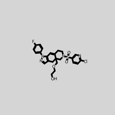 O=S(=O)(c1ccc(Cl)nc1)N1CCC2=Cc3c(cnn3-c3ccc(F)cc3)CC2(COCCO)C1